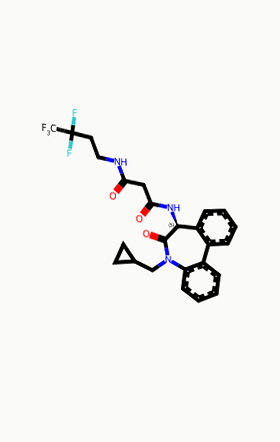 O=C(CC(=O)N[C@@H]1C(=O)N(CC2CC2)c2ccccc2-c2ccccc21)NCCC(F)(F)C(F)(F)F